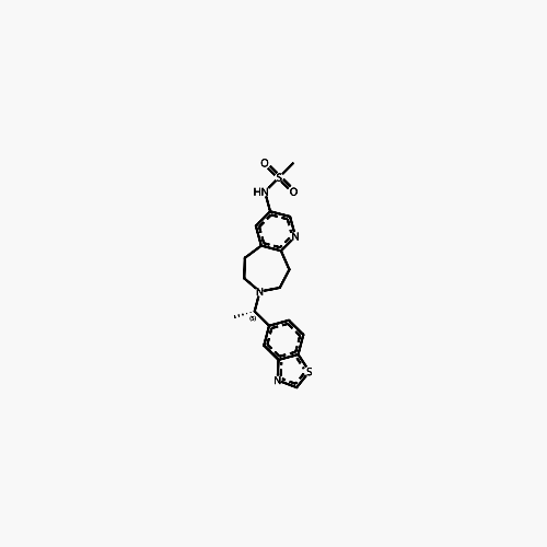 C[C@@H](c1ccc2scnc2c1)N1CCc2cc(NS(C)(=O)=O)cnc2CC1